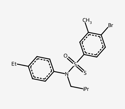 CCc1ccc(N(CC(C)C)S(=O)(=S)c2ccc(Br)c(C)c2)cc1